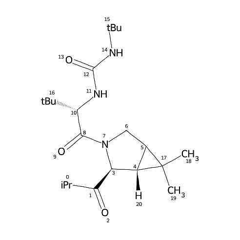 CC(C)C(=O)[C@@H]1[C@@H]2C(CN1C(=O)[C@@H](NC(=O)NC(C)(C)C)C(C)(C)C)C2(C)C